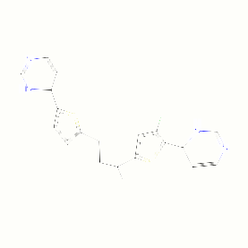 CC(CCc1ccc(C2C=CN=CN2)s1)c1cc(Cl)c(C2C=CN=CN2)s1